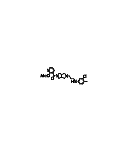 COc1ncccc1C(=O)N1CC2CN(CCCNc3ccc(C)c(Cl)c3)CC2C1